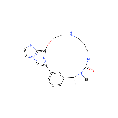 CCN1C(=O)NCCCNCCOc2nc(cn3ccnc23)-c2cccc(c2)[C@H]1C